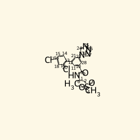 CC(CS(C)(=O)=O)NC(=O)c1cc(-c2ccc(Cl)cc2Cl)cc(-n2cnnn2)c1